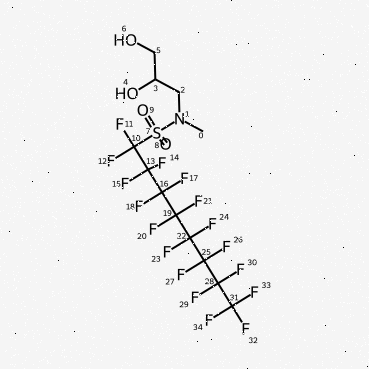 CN(CC(O)CO)S(=O)(=O)C(F)(F)C(F)(F)C(F)(F)C(F)(F)C(F)(F)C(F)(F)C(F)(F)C(F)(F)F